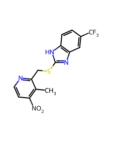 Cc1c([N+](=O)[O-])ccnc1CSc1nc2cc(C(F)(F)F)ccc2[nH]1